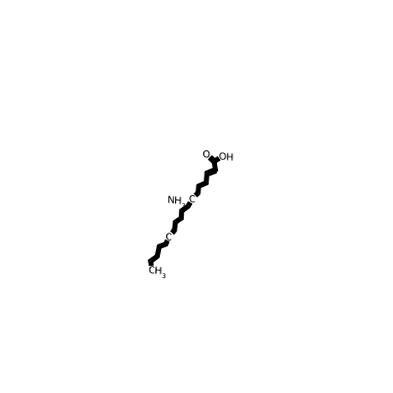 CCCCCCCCCCCCCCCC=CC(=O)O.N